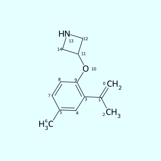 C=C(C)c1cc(C)ccc1OC1CNC1